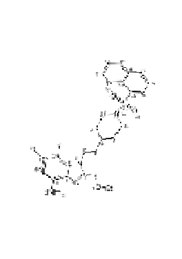 CCOCc1nc2c(N)nc(C)c(C)c2n1CCC1CCN(S(=O)(=O)c2cccc3cccnc23)CC1